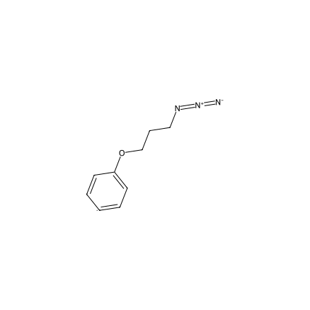 [N-]=[N+]=NCCCOc1cc[c]cc1